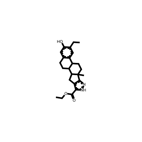 CCOC(=O)c1[nH]nc2c1CC1C3CCc4cc(O)c(CC)cc4C3CCC21C